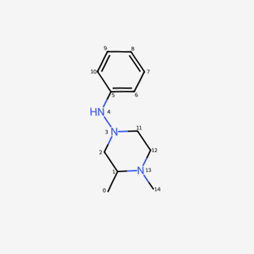 CC1CN(Nc2ccccc2)CCN1C